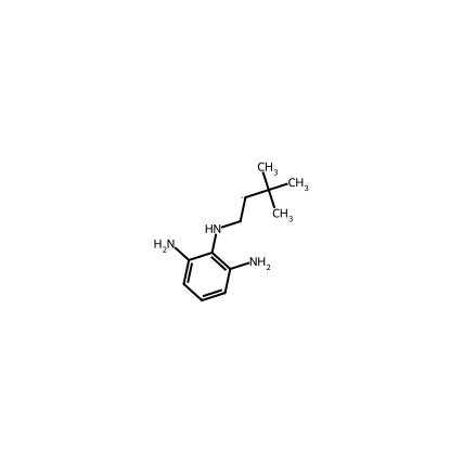 CC(C)(C)[CH]CNc1c(N)cccc1N